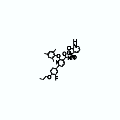 CCCOc1ccc(-c2ccc(C(=O)NS(=O)(=O)c3ccc[nH]c3=O)c(Oc3c(C)cc(C)cc3C)n2)cc1F